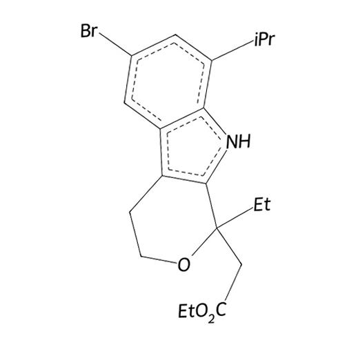 CCOC(=O)CC1(CC)OCCc2c1[nH]c1c(C(C)C)cc(Br)cc21